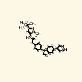 Cn1nc(C(C)(C)C)cc1NC(=O)Cc1ccc(-n2cnc3cc(-c4cn[nH]c4)ccc32)cc1